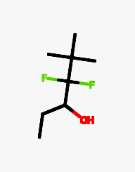 CCC(O)C(F)(F)C(C)(C)C